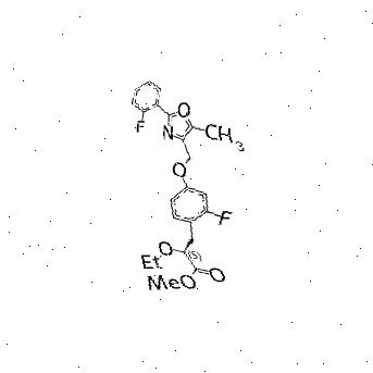 CCO[C@@H](Cc1ccc(OCc2nc(-c3ccccc3F)oc2C)cc1F)C(=O)OC